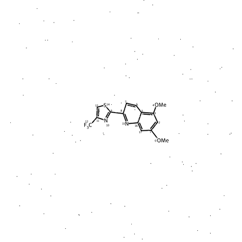 COc1cc(OC)c2[c]cc(-c3nc(C(F)(F)F)cs3)nc2c1